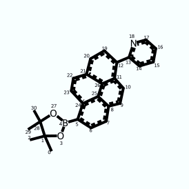 CC1(C)OB(c2ccc3ccc4c(-c5ccccn5)ccc5ccc2c3c54)OC1(C)C